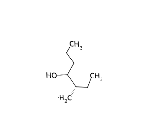 [CH2][C@@H](CC)C(O)CCC